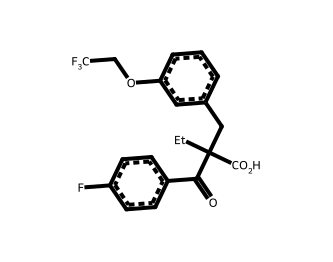 CCC(Cc1cccc(OCC(F)(F)F)c1)(C(=O)O)C(=O)c1ccc(F)cc1